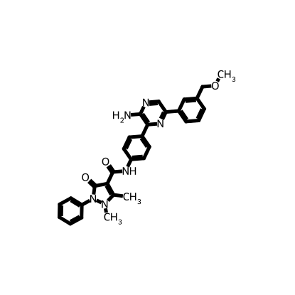 COCc1cccc(-c2cnc(N)c(-c3ccc(NC(=O)c4c(C)n(C)n(-c5ccccc5)c4=O)cc3)n2)c1